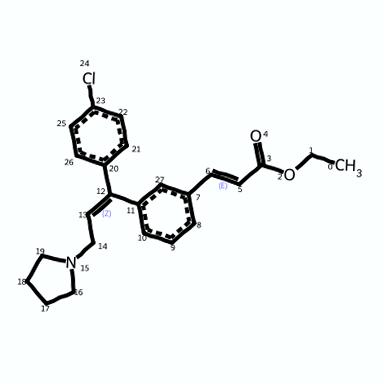 CCOC(=O)/C=C/c1cccc(/C(=C\CN2CCCC2)c2ccc(Cl)cc2)c1